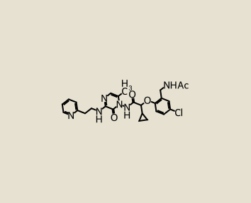 CC(=O)NCc1cc(Cl)ccc1OC(C(=O)Nn1c(C)cnc(NCCc2ccccn2)c1=O)C1CC1